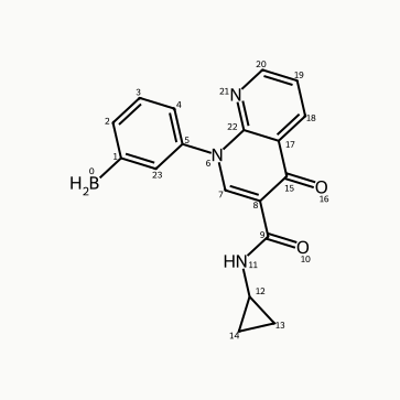 Bc1cccc(-n2cc(C(=O)NC3CC3)c(=O)c3cccnc32)c1